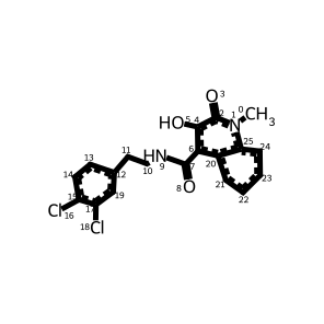 Cn1c(=O)c(O)c(C(=O)NCCc2ccc(Cl)c(Cl)c2)c2ccccc21